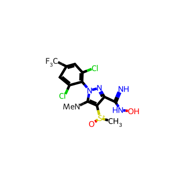 CNc1c([S+](C)[O-])c(C(=N)NO)nn1-c1c(Cl)cc(C(F)(F)F)cc1Cl